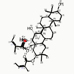 C/C=C(/C)C(=O)O[C@H]1[C@H](OC(=O)/C(C)=C\C)[C@@]2(CO)C(CC1(C)C)C1CCC3[C@@]4(C)CC[C@H](O)C(C)(C)C4CC[C@@]3(C)[C@]1(C)[C@@H](O)[C@H]2O